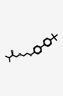 CC(C)C(=O)COCCOc1ccc(-c2ccc(C(C)(C)C)cc2)cc1